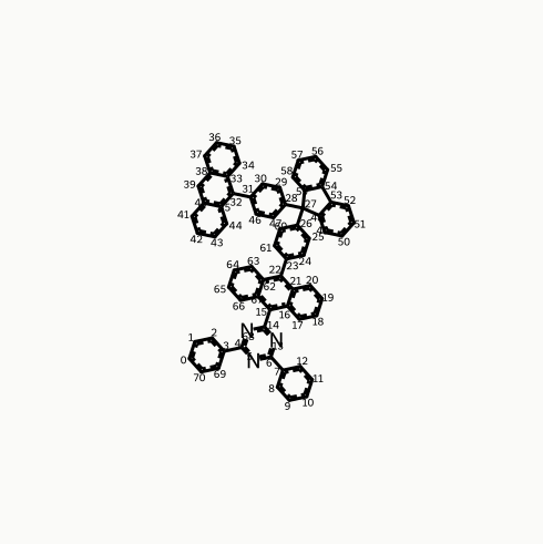 c1ccc(-c2nc(-c3ccccc3)nc(-c3c4ccccc4c(-c4ccc(C5(c6ccc(-c7c8ccccc8cc8ccccc78)cc6)c6ccccc6-c6ccccc65)cc4)c4ccccc34)n2)cc1